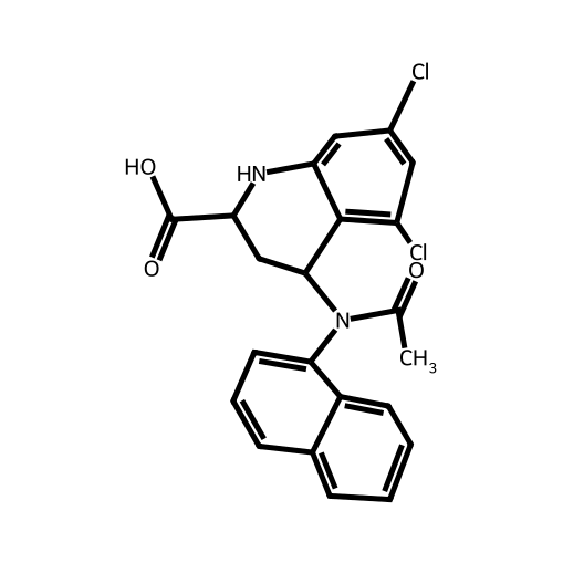 CC(=O)N(c1cccc2ccccc12)C1CC(C(=O)O)Nc2cc(Cl)cc(Cl)c21